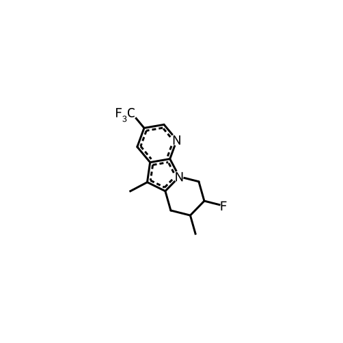 Cc1c2n(c3ncc(C(F)(F)F)cc13)CC(F)C(C)C2